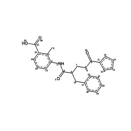 Cc1c(NC(=O)C(CSC(=O)c2cccs2)Cc2ccccc2)cccc1C(=O)O